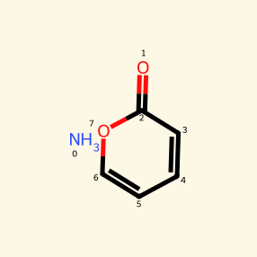 N.O=c1cccco1